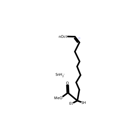 CCCCCCCC/C=C\CCCCCCC(S)(CC)C(=O)OC.[SnH2]